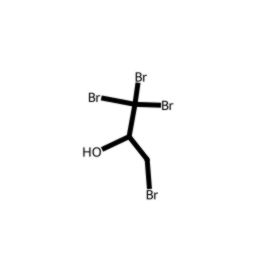 OC(CBr)C(Br)(Br)Br